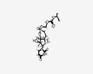 CC(C)OC(=O)OCOP1(=O)CC[C@@]2(CF)O[C@@H](n3ccc(=O)[nH]c3=O)[C@](C)(O)[C@@H]2O1